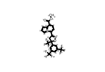 COC(=O)c1ccc(C2=NOC(c3cc(C(F)(F)F)cc(C(F)(F)F)c3)(C(F)(F)F)C2)n2cccc12